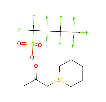 CC(=O)C[S+]1CCCCC1.O=S(=O)([O-])C(F)(F)C(F)(F)C(F)(F)C(F)(F)F